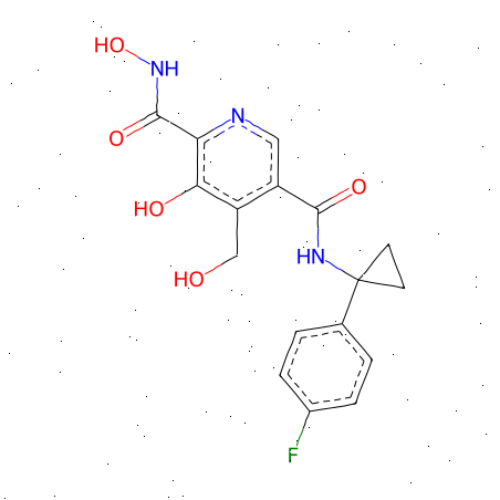 O=C(NC1(c2ccc(F)cc2)CC1)c1cnc(C(=O)NO)c(O)c1CO